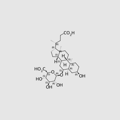 C[C@H](CCC(=O)O)[C@H]1CC[C@H]2[C@@H]3C[C@H](O[C@@H]4O[C@H](C(=O)O)[C@@H](O)[C@H](O)[C@H]4O)[C@@H]4C[C@H](O)CC[C@]4(C)[C@H]3CC[C@]12C